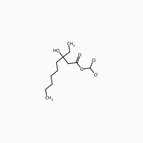 CCCCCCC(O)(CC)CC(=O)OC(Cl)Cl